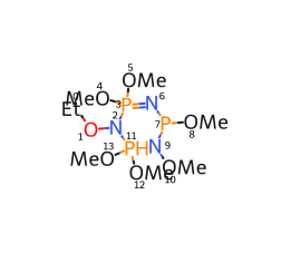 CCON1P(OC)(OC)=NP(OC)N(OC)[PH]1(OC)OC